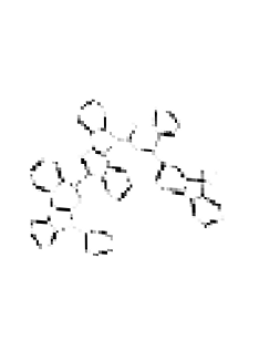 CC1(C)c2ccccc2-c2ccc(-c3nc(-n4c5ccccc5c5cc(C6Cc7c(c8ccccc8n7-c7ccccc7)-c7ccccc76)c6ccccc6c54)nc4ccccc34)cc21